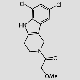 COCC(=O)N1CCc2[nH]c3c(Cl)cc(Cl)cc3c2C1